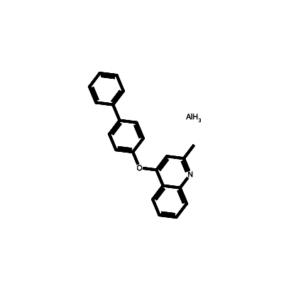 Cc1cc(Oc2ccc(-c3ccccc3)cc2)c2ccccc2n1.[AlH3]